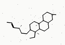 C/C=C/[C@@H](O)[C@@H](C)[C@H]1CC[C@H]2[C@@H]3CC[C@@H]4C[C@@](O)(C(F)(F)F)CC[C@]4(C)[C@H]3CC[C@]12C